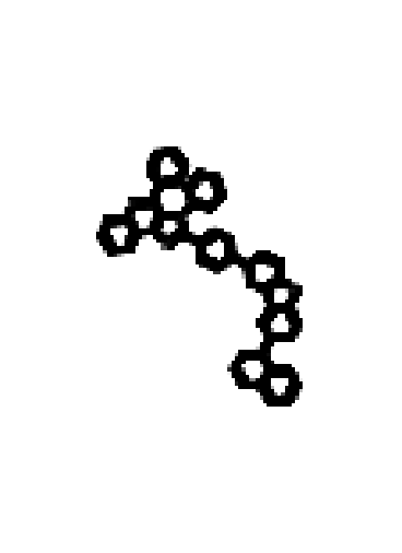 c1ccc(-c2nc3ccccc3c3nc(-c4ccc(-c5ccc6oc7ccc(-c8cccc9ccccc89)cc7c6c5)cc4)n(-c4ccccc4)c23)cc1